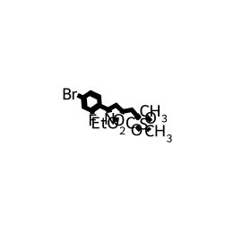 CCOC(=O)C(C)(CC1CC(c2ccc(Br)cc2F)=NO1)S(C)(=O)=O